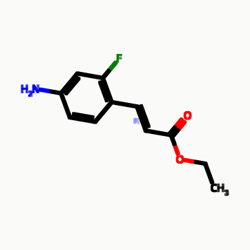 CCOC(=O)/C=C/c1ccc(N)cc1F